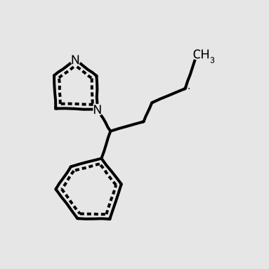 C[CH]CCC(c1ccccc1)n1ccnc1